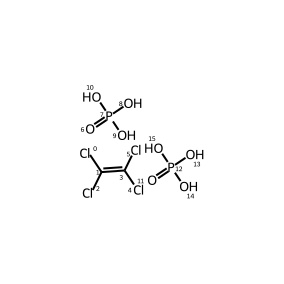 ClC(Cl)=C(Cl)Cl.O=P(O)(O)O.O=P(O)(O)O